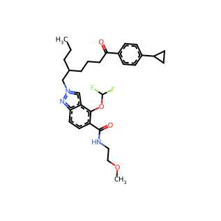 CCCC(CCCC(=O)c1ccc(C2CC2)cc1)Cn1cc2c(OC(F)F)c(C(=O)NCCOC)ccc2n1